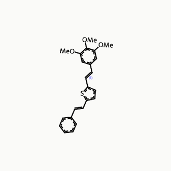 COc1cc(/C=C/c2ccc(C=Cc3ccccc3)s2)cc(OC)c1OC